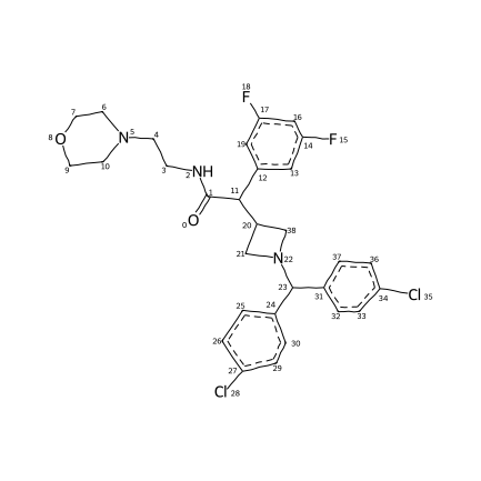 O=C(NCCN1CCOCC1)C(c1cc(F)cc(F)c1)C1CN(C(c2ccc(Cl)cc2)c2ccc(Cl)cc2)C1